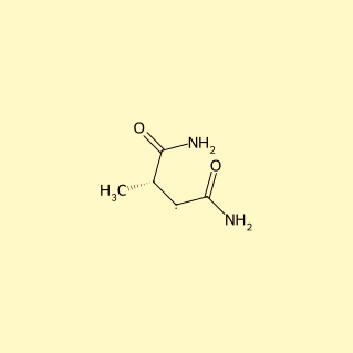 C[C@@H]([CH]C(N)=O)C(N)=O